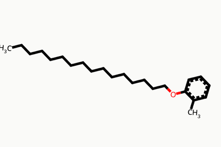 CCCCCCCCCCCCCCCCOc1ccccc1C